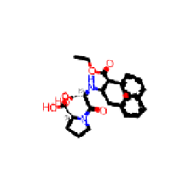 CCOC(=O)C(c1ccccc1)C(Cc1ccccc1)N[C@@H](CO)C(=O)N1CCC[C@H]1C(=O)O